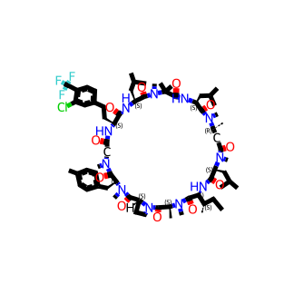 CC[C@H](C)[C@@H]1NC(=O)[C@H](CC(C)C)N(C)C(=O)C[C@@H](C)N(C)C(=O)[C@H](CC(C)C)NC(=O)C(C)(C)N(C)C(=O)[C@H](CC(C)C)NC(=O)[C@H](CCc2ccc(C(F)(F)F)c(Cl)c2)NC(=O)CN(C)C(=O)[C@H](Cc2ccc(C)cc2)N(C)C(=O)[C@@H]2CCN2C(=O)[C@H](C)N(C)C1=O